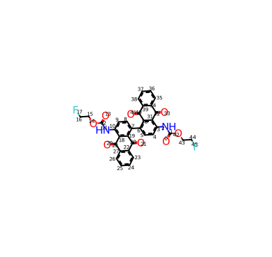 O=C(Nc1ccc(-c2ccc(NC(=O)OCCF)c3c2C(=O)c2ccccc2C3=O)c2c1C(=O)c1ccccc1C2=O)OCCF